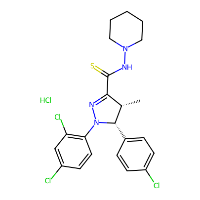 C[C@H]1C(C(=S)NN2CCCCC2)=NN(c2ccc(Cl)cc2Cl)[C@H]1c1ccc(Cl)cc1.Cl